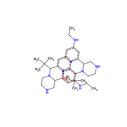 CCNc1ccnc(C2CNCCN2C(c2cccc(C(N3CCNCC3c3cc(NCC)ccn3)C(C)(C)C)c2O)C(C)(C)C)c1